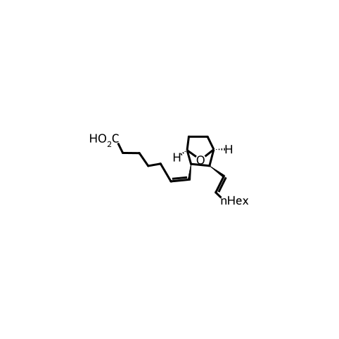 CCCCCC/C=C/[C@H]1[C@@H](/C=C\CCCCC(=O)O)[C@H]2CC[C@@H]1O2